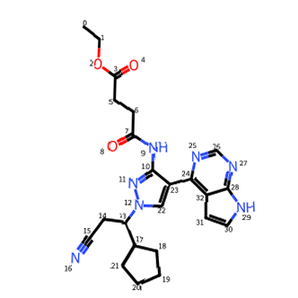 CCOC(=O)CCC(=O)Nc1nn(C(CC#N)C2CCCC2)cc1-c1ncnc2[nH]ccc12